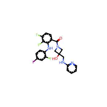 O=C(c1ccc(F)c(F)c1Nc1ccc(I)cc1F)N1CC(O)(CNc2ccccn2)C1